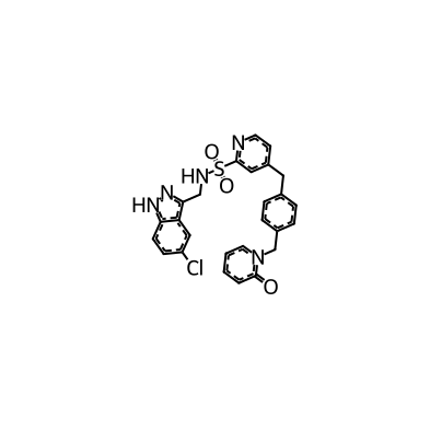 O=c1ccccn1Cc1ccc(Cc2ccnc(S(=O)(=O)NCc3n[nH]c4ccc(Cl)cc34)c2)cc1